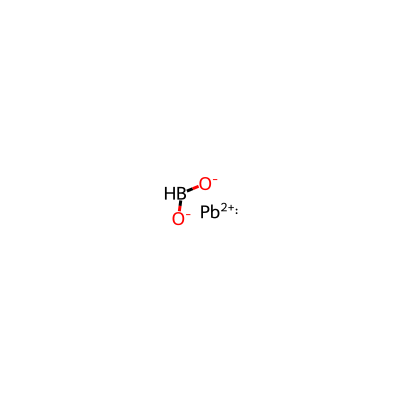 [O-]B[O-].[Pb+2]